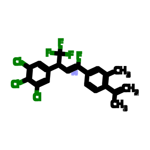 C=C(C)c1ccc(/C(F)=C/C(c2cc(Cl)c(Cl)c(Cl)c2)C(F)(F)F)cc1C